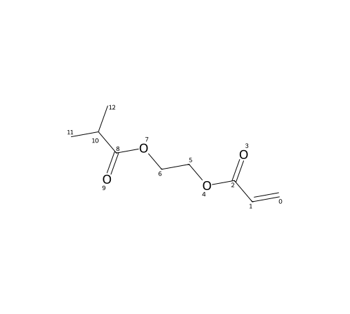 C=CC(=O)OCCOC(=O)C(C)C